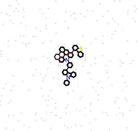 c1ccc(-n2c3ccccc3c3c(-c4cccc(N(c5ccc(-c6cccc7sc8ccccc8c67)cc5)c5ccccc5-c5cccc6cccc(C7CCCCC7)c56)c4)cccc32)cc1